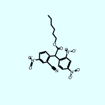 CCCCCCOC(=O)C(c1ccc([N+](=O)[O-])cc1C#N)c1ccc([N+](=O)[O-])cc1[N+](=O)[O-]